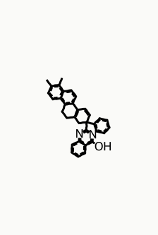 Cc1ccc2c3c(ccc2c1C)C1=C(CC3)CC(c2ccccc2)(c2nc(O)c3ccccc3n2)C=C1